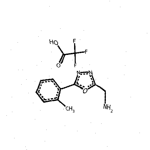 Cc1ccccc1-c1nnc(CN)o1.O=C(O)C(F)(F)F